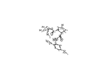 COc1ccc(N)c(NC(=O)[C@@H]2C3C[C@H]3CN2C(=O)OC(C)(C)C)c1